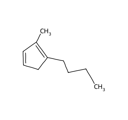 CCCCC1=C(C)C=CC1